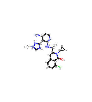 CC[C@H](Nc1nccc(N)c1-c1ncn(C)n1)c1cc2cccc(Cl)c2c(=O)n1C1CC1